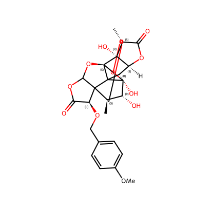 COc1ccc(CO[C@H]2C(=O)OC3O[C@@]45C(=O)OC6[C@H](O)[C@@H](C)C32C64[C@@H](O)[C@@H]2OC(=O)[C@@H](C)[C@@]25O)cc1